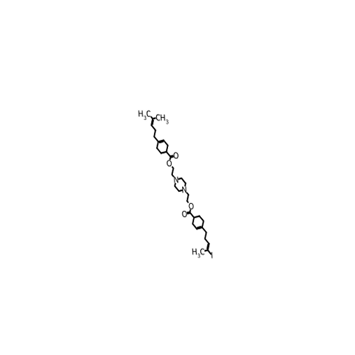 CC(C)=CCCC1=CCC(C(=O)OCCN2CCN(CCOC(=O)C3CC=C(CC/C=C(\C)I)CC3)CC2)CC1